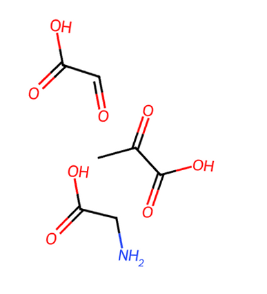 CC(=O)C(=O)O.NCC(=O)O.O=CC(=O)O